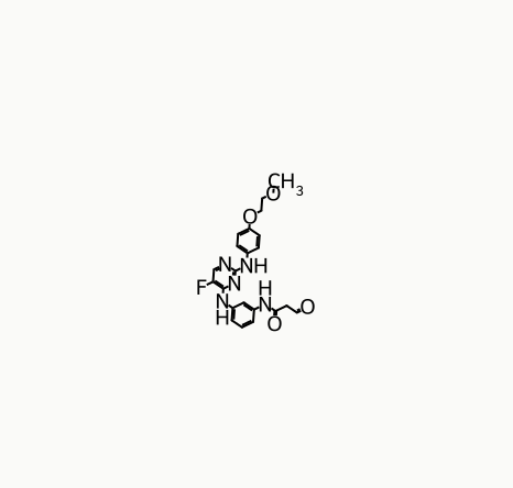 COCCOc1ccc(Nc2ncc(F)c(Nc3cccc(NC(=O)CC=O)c3)n2)cc1